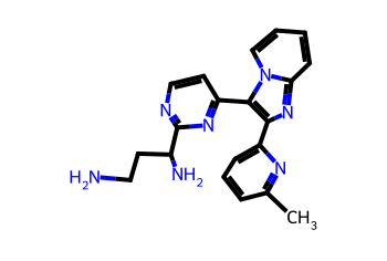 Cc1cccc(-c2nc3ccccn3c2-c2ccnc(C(N)CCN)n2)n1